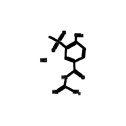 CC(C)COc1ccc(C(=O)NC(=N)N)cc1S(C)(=O)=O.Cl